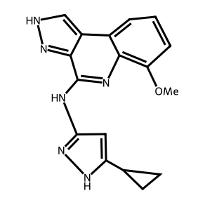 COc1cccc2c1nc(Nc1cc(C3CC3)[nH]n1)c1n[nH]cc12